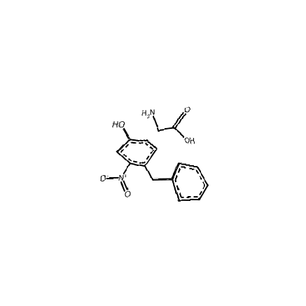 NCC(=O)O.O=[N+]([O-])c1cc(O)ccc1Cc1ccccc1